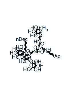 CCCCCCCCCCCCCCCC(=O)N[C@H]1[C@H](OCCNC(=O)CN(CC(=O)NCCCCCC(C)=O)CC(=O)NCCO[C@@H]2O[C@@H](C)[C@@H](O)[C@@H](O)[C@@H]2O)O[C@H](CO[C@H]2O[C@H](CO)[C@@H](O)[C@H](O)[C@@H]2O)[C@@H](O)[C@@H]1O[C@H]1O[C@H](CO)[C@@H](O)[C@H](O)[C@@H]1O